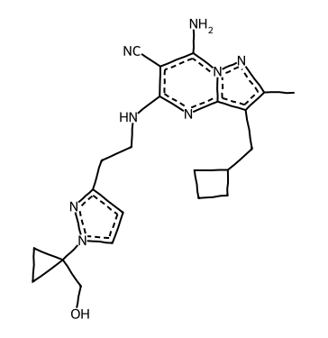 Cc1nn2c(N)c(C#N)c(NCCc3ccn(C4(CO)CC4)n3)nc2c1CC1CCC1